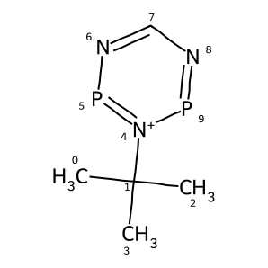 CC(C)(C)[n+]1pncnp1